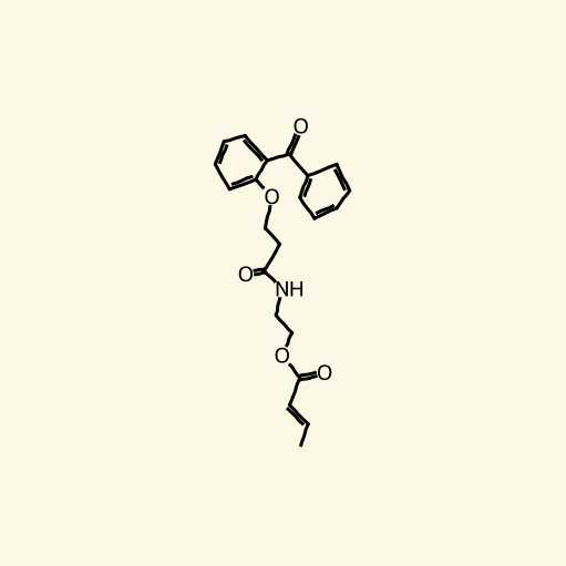 CC=CC(=O)OCCNC(=O)CCOc1ccccc1C(=O)c1ccccc1